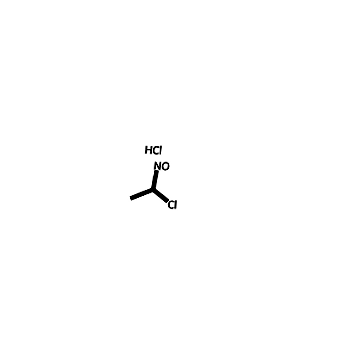 CC(Cl)N=O.Cl